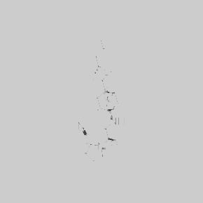 CCCC1OC(C23CCC(NCC(=O)N4CCCC4C#N)(CC2)CC3)O1